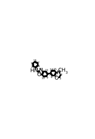 CN1CCOc2cc(-c3ccc4oc(Nc5ccccc5)nc4c3)ccc21